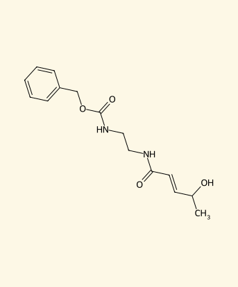 CC(O)/C=C/C(=O)NCCNC(=O)OCc1ccccc1